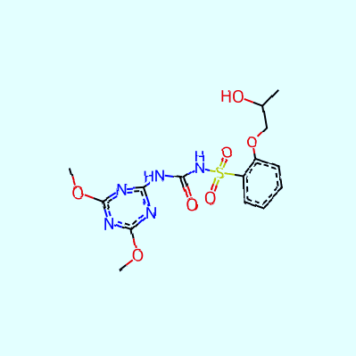 COc1nc(NC(=O)NS(=O)(=O)c2ccccc2OCC(C)O)nc(OC)n1